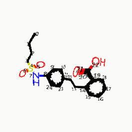 CCCCS(=O)(=O)Nc1ccc(CCc2ccccc2C(=O)O)cc1